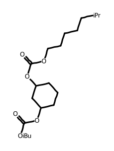 CC(C)CCCCCOC(=O)OC1CCCC(OC(=O)OCC(C)C)C1